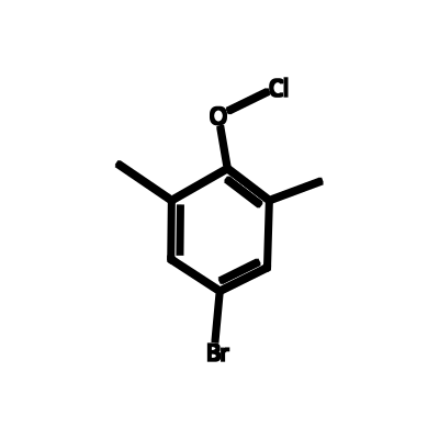 Cc1cc(Br)cc(C)c1OCl